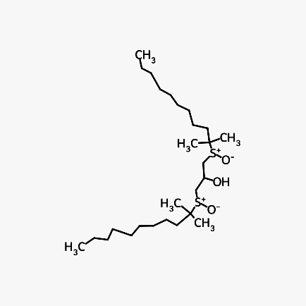 CCCCCCCCCC(C)(C)[S+]([O-])CC(O)C[S+]([O-])C(C)(C)CCCCCCCCC